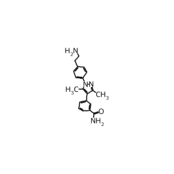 Cc1nn(-c2ccc(CCN)cc2)c(C)c1-c1cccc(C(N)=O)c1